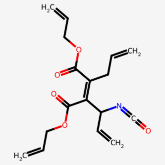 C=CCOC(=O)/C(CC=C)=C(\C(=O)OCC=C)C(C=C)N=C=O